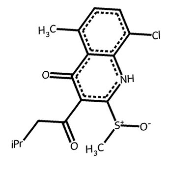 Cc1ccc(Cl)c2[nH]c([S+](C)[O-])c(C(=O)CC(C)C)c(=O)c12